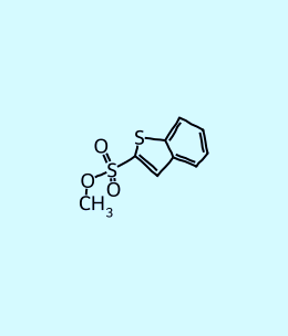 COS(=O)(=O)c1cc2ccccc2s1